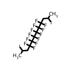 CC(I)CC(F)(F)C(F)(F)C(F)(F)C(F)(F)C(F)(F)C(F)(F)CC(C)I